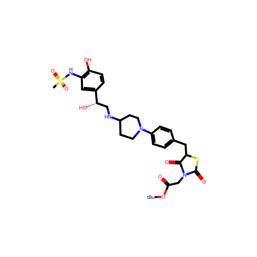 CC(C)(C)OC(=O)CN1C(=O)SC(Cc2ccc(N3CCC(NC[C@H](O)c4ccc(O)c(NS(C)(=O)=O)c4)CC3)cc2)C1=O